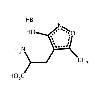 Br.Cc1onc(O)c1CC(N)C(=O)O